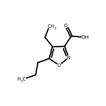 CCCc1onc(C(=O)O)c1CC